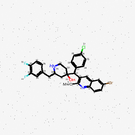 COc1nc2ccc(Br)cc2cc1C(c1ccc(Cl)cc1)C1(O)CCNC(Cc2ccc(F)c(F)c2)C1